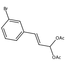 CC(=O)OC(/C=C/c1cccc(Br)c1)OC(C)=O